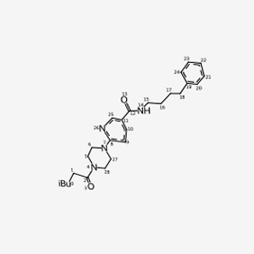 CCC(C)CC(=O)N1CCN(c2ccc(C(=O)NCCCCc3ccccc3)cn2)CC1